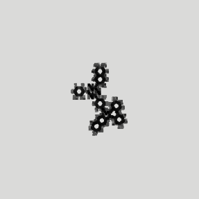 c1ccc(-c2nc(-c3ccc(-n4c5cc6ccccc6cc5c5c6ccccc6c6ccccc6c54)cc3)nc(-c3ccc4ccccc4c3)n2)cc1